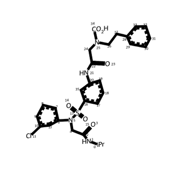 CC(C)NC(=O)CN(c1cccc(Cl)c1)S(=O)(=O)c1cccc(NC(=O)CN(CCc2ccccc2)C(=O)O)c1